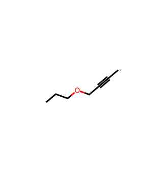 [CH2]C#CCOCCC